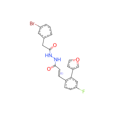 O=C(/C=C/c1ccc(F)cc1-c1ccoc1)NNC(=O)Cc1cccc(Br)c1